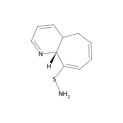 NSC1=CC=CCC2C=CC=N[C@@H]12